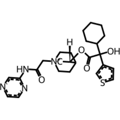 O=C(C[N+]12CCC(CC1)[C@@H](OC(=O)C(O)(c1ccsc1)C1CCCCC1)C2)Nc1cnccn1